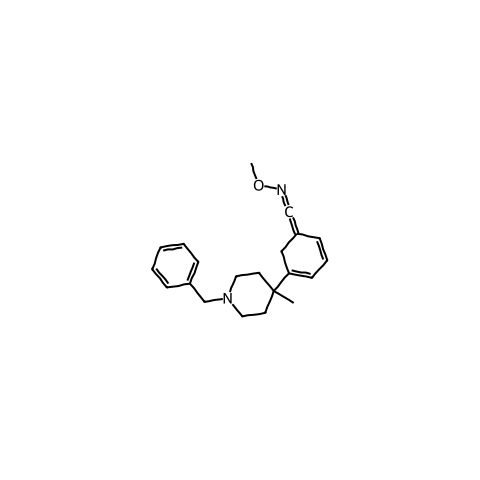 CON=C=C1C=CC=C(C2(C)CCN(Cc3ccccc3)CC2)C1